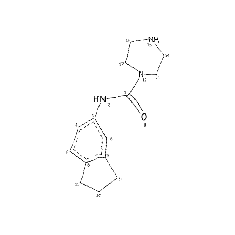 O=C(Nc1ccc2c(c1)CCC2)N1CCNCC1